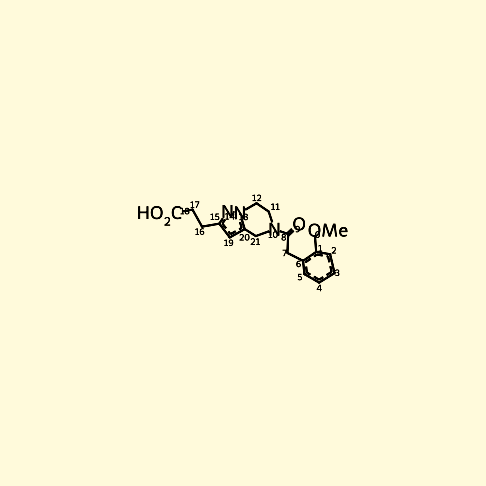 COc1ccccc1CC(=O)N1CCn2nc(CCC(=O)O)cc2C1